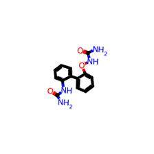 NC(=O)NOc1ccccc1-c1ccccc1NC(N)=O